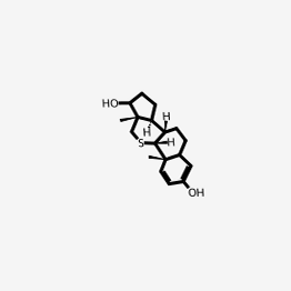 C[C@]12C=CC(O)=CC1CC[C@@H]1[C@H]2SC[C@]2(C)C(O)CC[C@@H]12